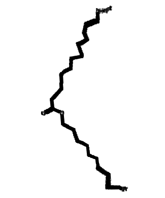 CCCCCCCC=CCCCCCCCCC(=O)OCCCCCCCCCC(C)C